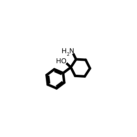 NC1CCCCC1(O)c1ccccc1